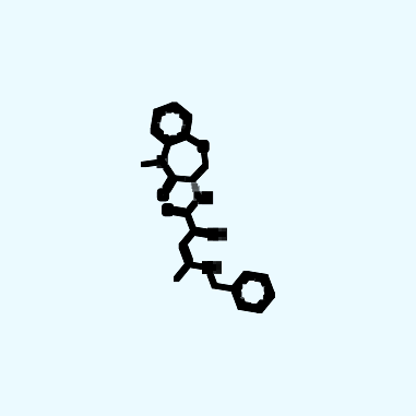 C/C(=C/C(=N)C(=O)N[C@H]1COc2ccccc2N(C)C1=O)NCc1ccccc1